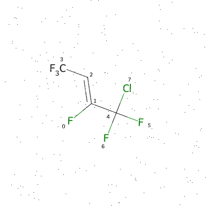 FC(=CC(F)(F)F)C(F)(F)Cl